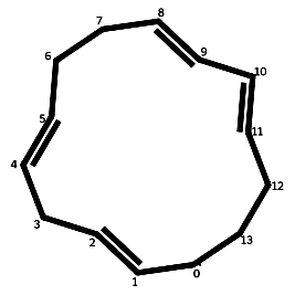 [CH]1/C=C/C/C=C/CC/C=C/C=C/CC1